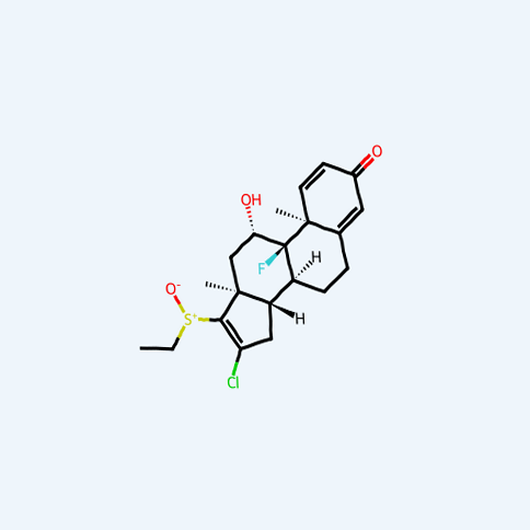 CC[S+]([O-])C1=C(Cl)C[C@H]2[C@@H]3CCC4=CC(=O)C=C[C@]4(C)[C@@]3(F)[C@@H](O)C[C@]12C